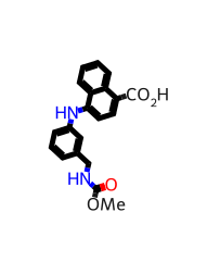 COC(=O)NCc1cccc(Nc2ccc(C(=O)O)c3ccccc23)c1